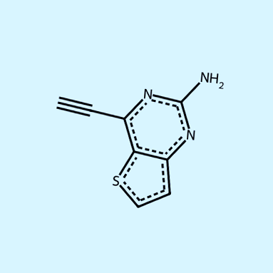 C#Cc1nc(N)nc2ccsc12